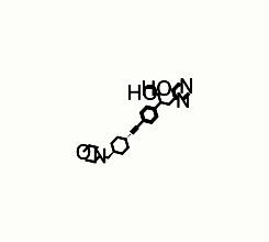 OCC(Cc1ncncc1O)c1ccc(C#C[C@H]2CC[C@H](CN3CCOCC3)CC2)cc1